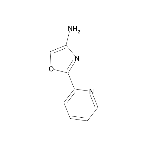 Nc1coc(-c2ccccn2)n1